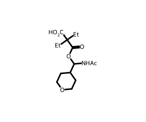 CCC(CC)(C(=O)O)C(=O)OC(NC(C)=O)C1CCOCC1